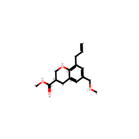 C=CCc1cc(COC)cc2c1OCC(C(=O)OC)C2